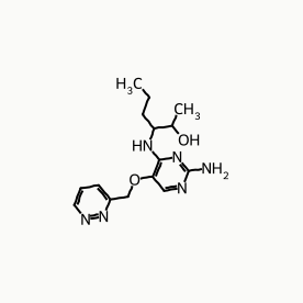 CCCC(Nc1nc(N)ncc1OCc1cccnn1)C(C)O